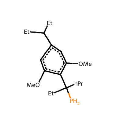 CCCC(P)(CC)c1c(OC)cc(C(CC)CC)cc1OC